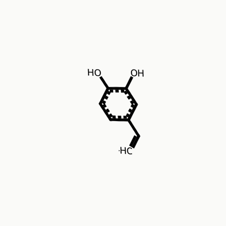 [CH]=Cc1ccc(O)c(O)c1